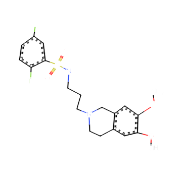 COc1cc2c(cc1OC)CN(CCCNS(=O)(=O)c1cc(F)ccc1F)CC2